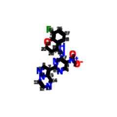 O=[N+]([O-])c1cnc(-c2cnn3ccncc23)nc1N[C@@H]1CCOc2c(F)cccc21